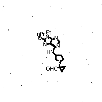 CCCOc1nc2c(NC3CCN(C4(C=O)CC4)C3)ncnc2n1CC